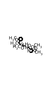 COc1ccccc1[C@H](C)C(C)OC(=O)CNC(=O)c1nccc(OC)c1OC(C)=O